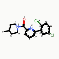 CC1CCN(C(=O)c2cccc(-c3cc(Cl)ccc3Cl)n2)CC1